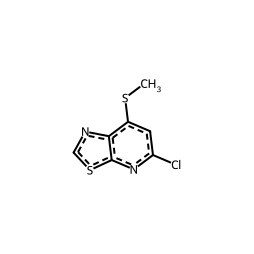 CSc1cc(Cl)nc2scnc12